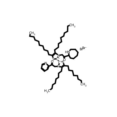 CCCCCCCCCCc1s[c+](-[c+]2sc(CCCCCCCC)c(CCCCCCCC)n2CC(=O)c2ccccn2)n(CC(=O)C2CCCCCCN2)c1CCCCCCCCCC.[Br-].[Br-]